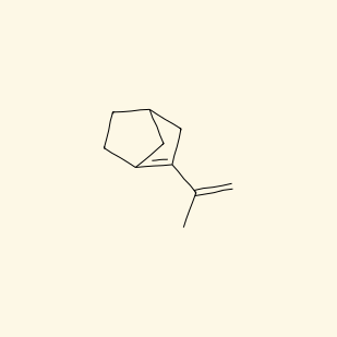 C=C(C)C1=C2CCC(C2)C1